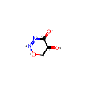 O=C1CON=NC1=O